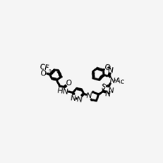 CC(=O)N(c1nnc(C2CCN(c3ccc(NC(=O)Cc4cccc(OC(F)(F)F)c4)nn3)C2)s1)c1noc2ccccc12